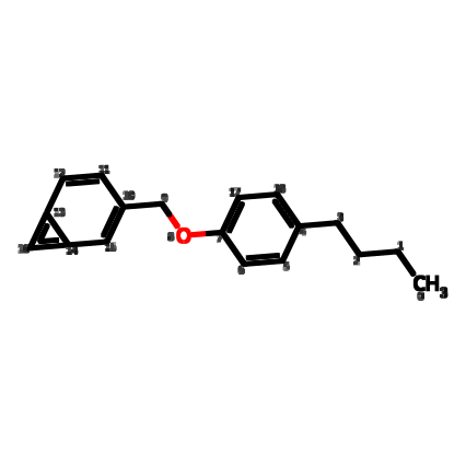 CCCCc1ccc(OCc2ccc3c(c2)=C=3)cc1